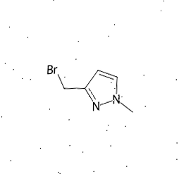 Cn1ccc(CBr)n1